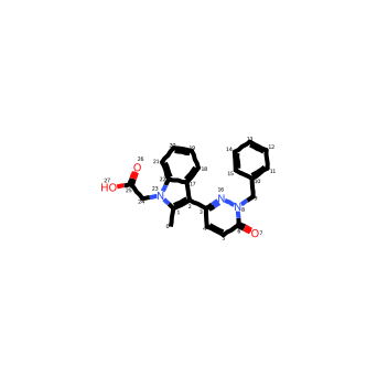 Cc1c(-c2ccc(=O)n(Cc3ccccc3)n2)c2ccccc2n1CC(=O)O